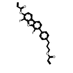 C=CC(=O)OCCCc1ccc(-c2ccc3c(oc4c(F)c(OC(=O)C=C)ccc43)c2F)cc1